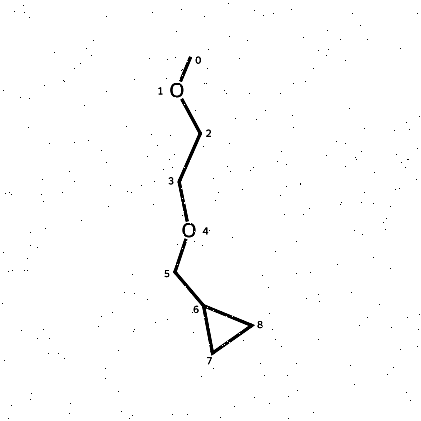 COCCOCC1CC1